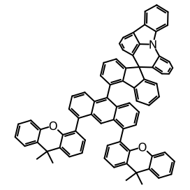 CC1(C)c2ccccc2Oc2c(-c3cccc4c(-c5cccc6c5-c5ccccc5C65c6ccccc6-n6c7ccccc7c7cccc5c76)c5cccc(-c6cccc7c6Oc6ccccc6C7(C)C)c5cc34)cccc21